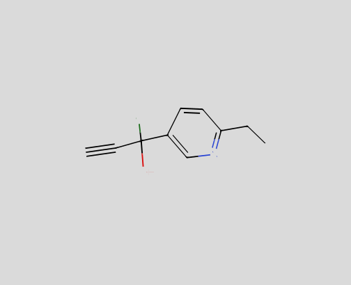 C#CC(O)(Cl)c1ccc(CC)nc1